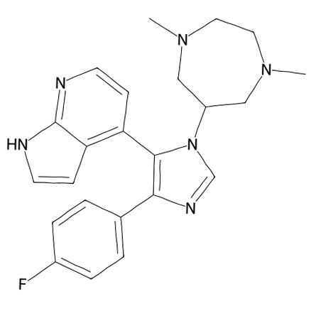 CN1CCN(C)CC(n2cnc(-c3ccc(F)cc3)c2-c2ccnc3[nH]ccc23)C1